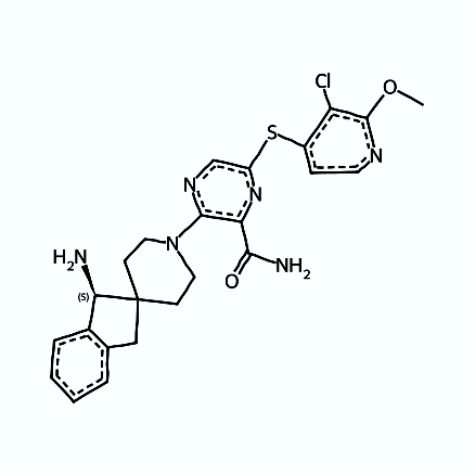 COc1nccc(Sc2cnc(N3CCC4(CC3)Cc3ccccc3[C@H]4N)c(C(N)=O)n2)c1Cl